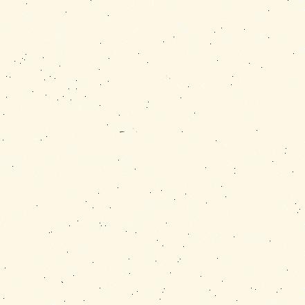 C[N@@+]1(CCCOc2cc(F)cc(F)c2)CCC(C(C(N)=O)(c2ccccc2)c2ccccc2)C1